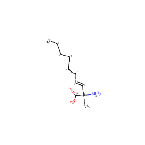 CCCCCCC=CC(C)(N)C(=O)O